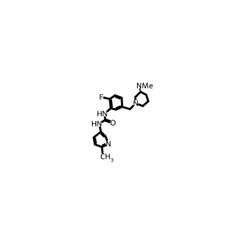 CN[C@H]1CCCN(Cc2ccc(F)c(NC(=O)Nc3ccc(C)nc3)c2)C1